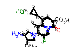 COC1CN(c2c(F)cn3c(=O)c(C(=O)O)cc(C4CC4)c3c2C)CC1N.Cl